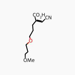 COCCCOCCCC(=CC#N)C(=O)O